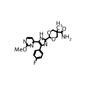 COc1nccc(-c2[nH]c(C3OCC(C)(C(N)=O)CO3)nc2-c2ccc(F)cc2)n1